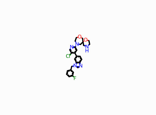 Fc1cccc(Cn2cnc3ccc(-c4cc(N5CCOCC6(CNCCO6)C5)ncc4Cl)cc32)c1